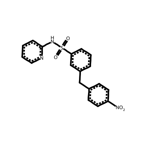 O=[N+]([O-])c1ccc(Cc2cccc(S(=O)(=O)Nc3ccccn3)c2)cc1